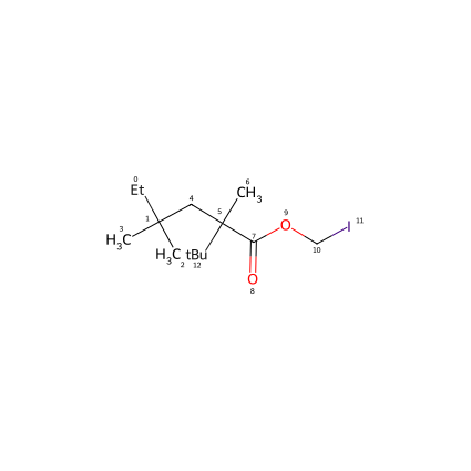 CCC(C)(C)CC(C)(C(=O)OCI)C(C)(C)C